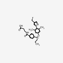 CCC[C@H](Oc1cc(C)c(-n2cc(CF)cn2)c(C)c1)c1ccc(C(=O)NCCC(=O)O)cc1